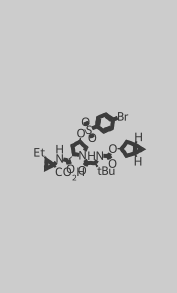 CC[C@@H]1C[C@]1(NC(=O)[C@@H]1C[C@H](OS(=O)(=O)c2ccc(Br)cc2)CN1C(=O)[C@@H](NC(=O)O[C@@H]1C[C@@H]2C[C@@H]2C1)C(C)(C)C)C(=O)O